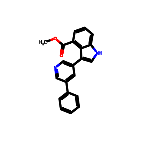 COC(=O)c1cccc2[nH]cc(-c3cncc(-c4ccccc4)c3)c12